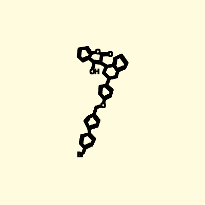 O=c1oc2ccccc2c(O)c1C1CC(c2ccc(OCc3ccc(-c4ccc(Br)cc4)cc3)cc2)Cc2ccccc21